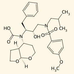 COc1ccc(S(=O)(=O)N(CC(C)C)C[C@H](O)[C@H](Cc2ccccc2)N(C(=O)O)[C@@H]2CCO[C@H]3OCC[C@H]32)cc1